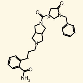 NC(=O)c1ccccc1[CH]CCN1CC2CN(C(=O)[C@H]3CC(=O)N(Cc4ccccc4)C3)CC2C1